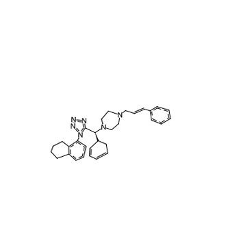 C1=CCC([C@@H](c2nnnn2-c2cccc3c2CCCC3)N2CCN(C/C=C/c3ccccc3)CC2)C=C1